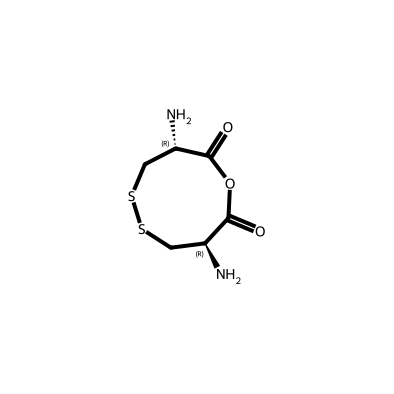 N[C@H]1CSSC[C@H](N)C(=O)OC1=O